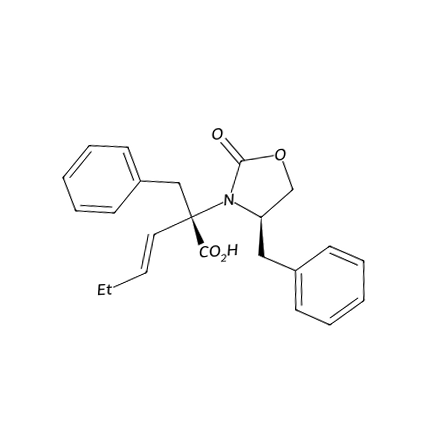 CCC=C[C@@](Cc1ccccc1)(C(=O)O)N1C(=O)OC[C@H]1Cc1ccccc1